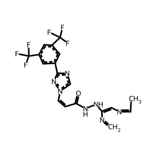 C=N/C(=C\N=C/C)NNC(=O)/C=C\n1cnc(-c2cc(C(F)(F)F)cc(C(F)(F)F)c2)n1